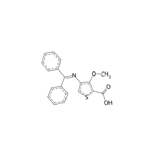 COc1c(N=C(c2ccccc2)c2ccccc2)csc1C(=O)O